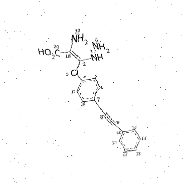 NN/C(Oc1ccc(C#Cc2ccccc2)cc1)=C(\N)C(=O)O